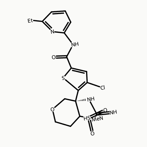 CCc1cccc(NC(=O)c2cc(Cl)c([C@]3(NC(=N)NC)COCCC3[SH](=O)=O)s2)n1